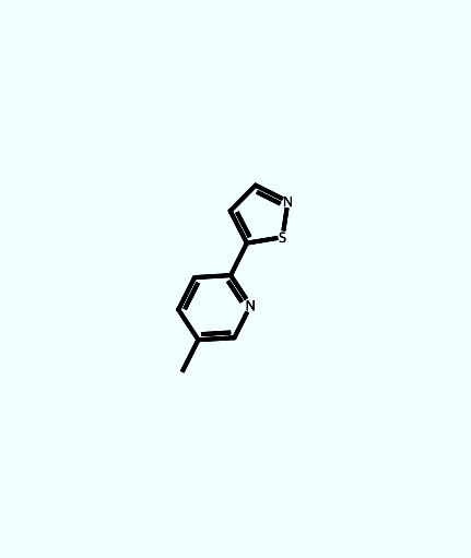 Cc1ccc(-c2ccns2)nc1